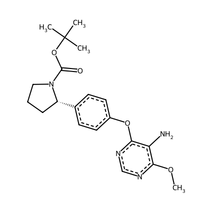 COc1ncnc(Oc2ccc([C@@H]3CCCN3C(=O)OC(C)(C)C)cc2)c1N